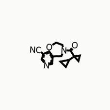 N#Cc1cncc2c1OCCN(C(=O)C1(C3CC3)CC1)C2